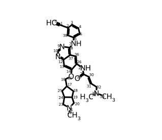 C#Cc1cccc(Nc2ncnc3cc(OCC4CC5CN(C)CC5C4)c(NC(=O)/C=C/CN(C)C)cc23)c1